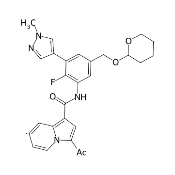 CC(=O)c1cc(C(=O)Nc2cc(COC3CCCCO3)cc(-c3cnn(C)c3)c2F)c2c[c]ccn12